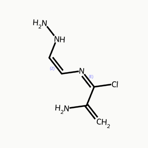 C=C(N)/C(Cl)=N\C=C/NN